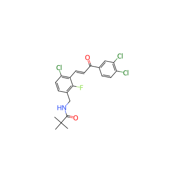 CC(C)(C)C(=O)NCc1ccc(Cl)c(C=CC(=O)c2ccc(Cl)c(Cl)c2)c1F